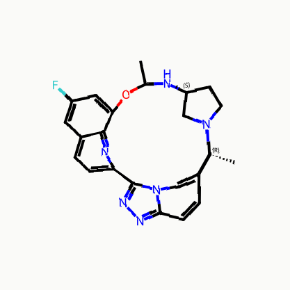 CC1N[C@@]2(C)CCN(C2)[C@H](C)c2ccc3nnc(n3c2)-c2ccc3cc(F)cc(c3n2)O1